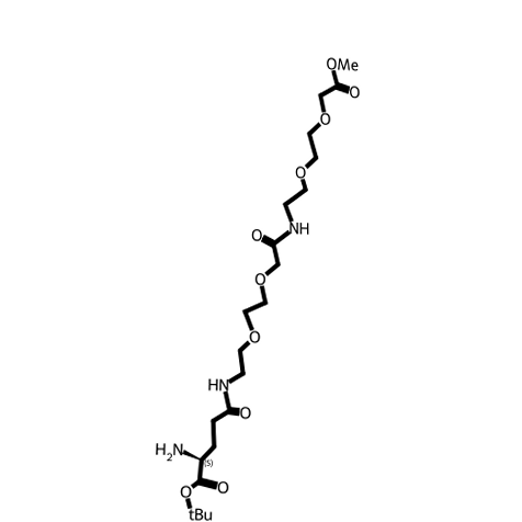 COC(=O)COCCOCCNC(=O)COCCOCCNC(=O)CC[C@H](N)C(=O)OC(C)(C)C